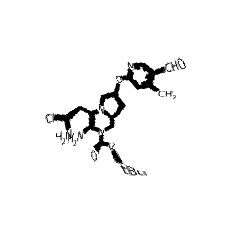 Cc1cc(OC2CC3CN(C(=O)OC(C)(C)C)C(N)=C(/C=C(\N)Cl)N3C2)ncc1C=O